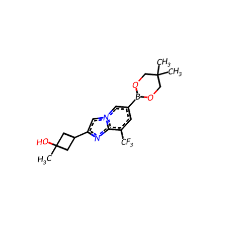 CC1(C)COB(c2cc(C(F)(F)F)c3nc(C4CC(C)(O)C4)cn3c2)OC1